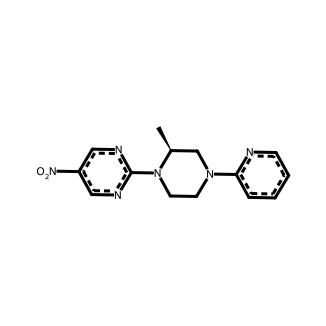 C[C@H]1CN(c2ccccn2)CCN1c1ncc([N+](=O)[O-])cn1